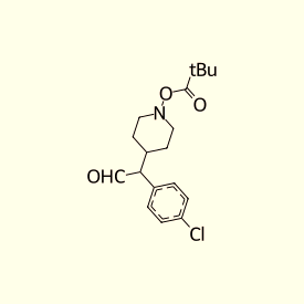 CC(C)(C)C(=O)ON1CCC(C(C=O)c2ccc(Cl)cc2)CC1